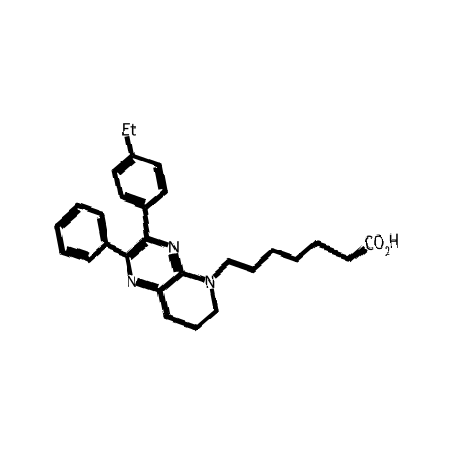 CCc1ccc(-c2nc3c(nc2-c2ccccc2)CCCN3CCCCCCC(=O)O)cc1